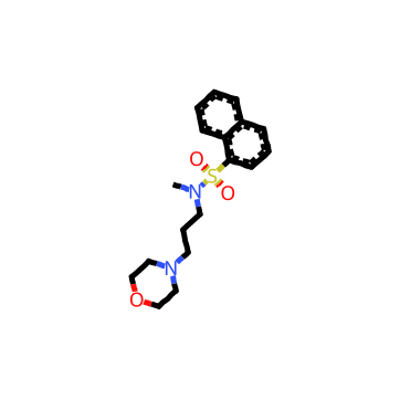 CN(CCCN1CCOCC1)S(=O)(=O)c1cccc2ccccc12